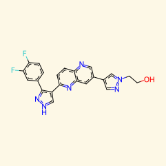 OCCn1cc(-c2cnc3ccc(-c4c[nH]nc4-c4ccc(F)c(F)c4)nc3c2)cn1